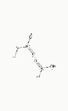 CC(=O)O.CC[N+](=O)[O-]